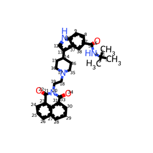 CC(C)(C)NC(=O)c1ccc2[nH]cc(C3CCN(CCN4C(=O)c5cccc6cccc(c56)C4=O)CC3)c2c1